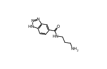 NCCCNC(=O)c1ccc2[nH]nnc2c1